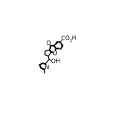 Cc1cccc(C(O)C2CCc3c2oc2ccc(C(=O)O)cc2c3=O)n1